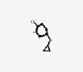 Clc1ccc(CC2CC2)cc1